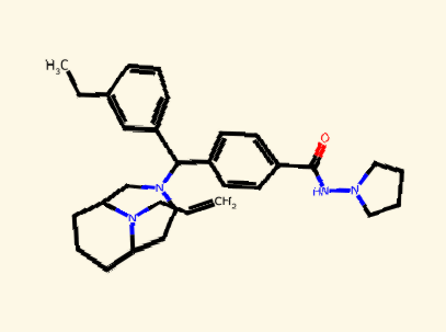 C=CCN1C2CCCC1CN(C(c1ccc(C(=O)NN3CCCC3)cc1)c1cccc(CC)c1)CC2